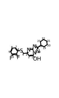 Oc1cc(CSc2cccc(F)c2F)nc2nc(C3CCCCC3)nn12